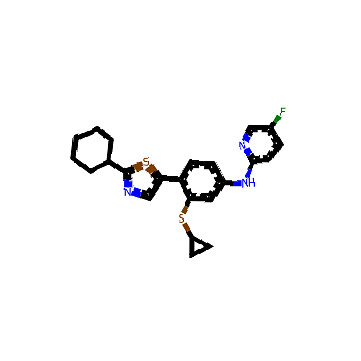 Fc1ccc(Nc2ccc(-c3cnc(C4CCCCC4)s3)c(SC3CC3)c2)nc1